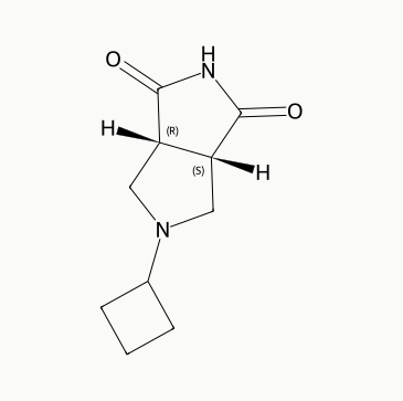 O=C1NC(=O)[C@@H]2CN(C3CCC3)C[C@H]12